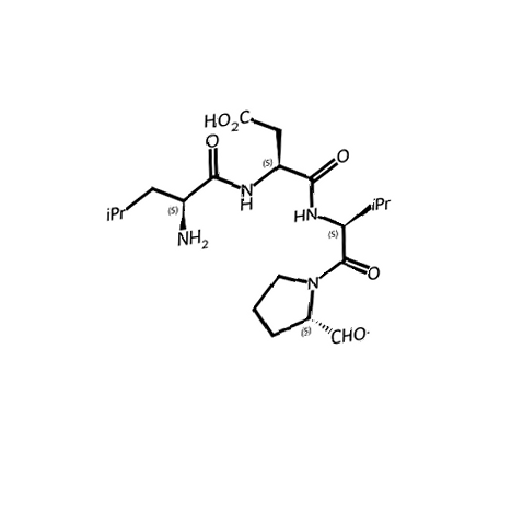 CC(C)C[C@H](N)C(=O)N[C@@H](CC(=O)O)C(=O)N[C@H](C(=O)N1CCC[C@H]1[C]=O)C(C)C